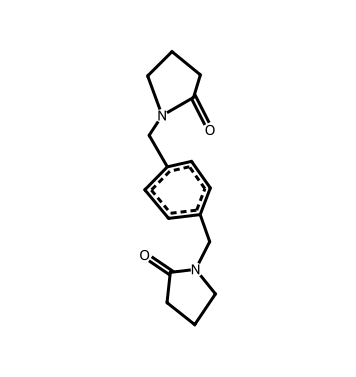 O=C1CCCN1Cc1ccc(CN2CCCC2=O)cc1